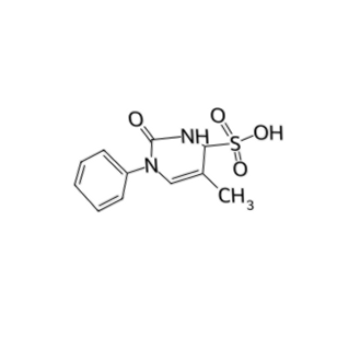 CC1=CN(c2ccccc2)C(=O)NC1S(=O)(=O)O